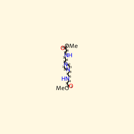 COC(=O)CCNCCCN1CCN(CCCNCCC(=O)OC)CC1